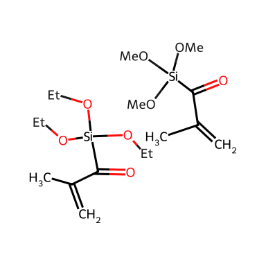 C=C(C)C(=O)[Si](OC)(OC)OC.C=C(C)C(=O)[Si](OCC)(OCC)OCC